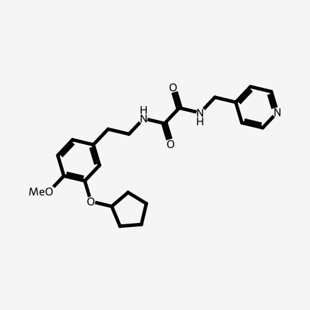 COc1ccc(CCNC(=O)C(=O)NCc2ccncc2)cc1OC1CCCC1